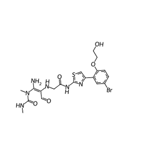 CNC(=O)N(C)/C(N)=C(\C=O)NCC(=O)Nc1nc(-c2cc(Br)ccc2OCCO)cs1